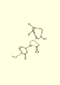 Cn1ccc(N2C[C@H](c3c(O)ccc(Cl)c3Cl)CC2=O)cc1=O